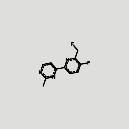 Cc1nccc(-c2ccc(F)c(CF)n2)n1